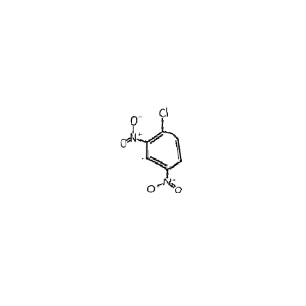 O=[N+]([O-])c1[c]c([N+](=O)[O-])c(Cl)cc1